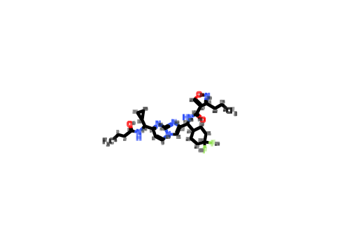 O=C(CCC(F)(F)F)NC(c1ccn2cc(C(NC(=O)c3conc3CCC(F)(F)F)C3CCC(F)(F)CC3)nc2n1)C1CC1